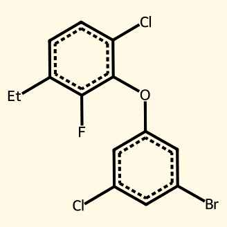 CCc1ccc(Cl)c(Oc2cc(Cl)cc(Br)c2)c1F